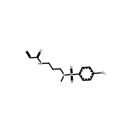 C=CC(=O)NCCCN(C)S(=O)(=O)c1ccc([N+](=O)[O-])cc1